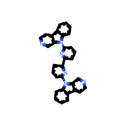 c1cc(-c2cccc(-n3c4ccccc4c4ccncc43)n2)nc(-n2c3ccccc3c3ccncc32)c1